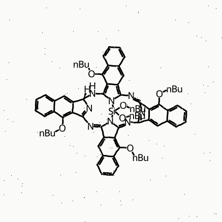 CCCCOc1c2c(cc3ccccc13)[C@H]1N=C2/N=c2/c3cc4ccccc4c(OCCCC)c3/c3n2[Si](OCCCC)(OCCCC)n2c(c4cc5ccccc5c(OCCCC)c4c2N1)/N=C1N=C(/N=3)c2cc3ccccc3c(OCCCC)c2\1